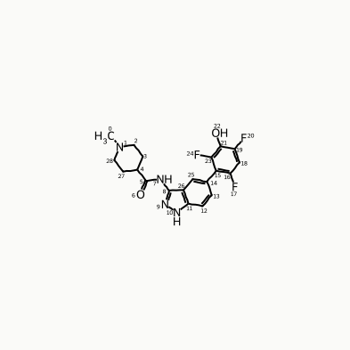 CN1CCC(C(=O)Nc2n[nH]c3ccc(-c4c(F)cc(F)c(O)c4F)cc23)CC1